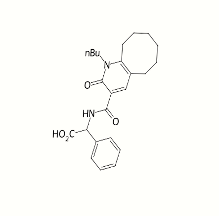 CCCCn1c2c(cc(C(=O)NC(C(=O)O)c3ccccc3)c1=O)CCCCCC2